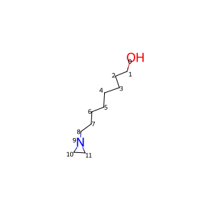 OCCCCCCCCN1CC1